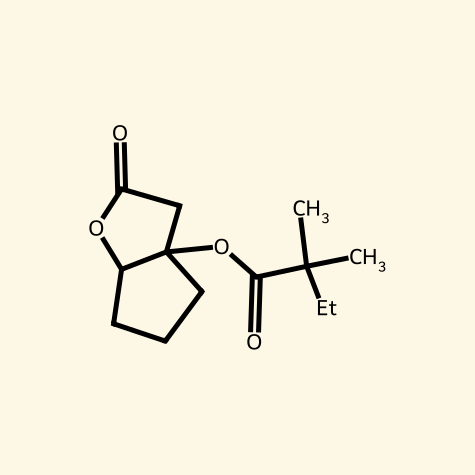 CCC(C)(C)C(=O)OC12CCCC1OC(=O)C2